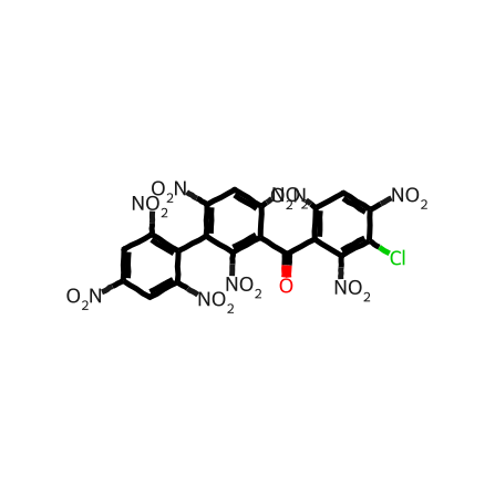 O=C(c1c([N+](=O)[O-])cc([N+](=O)[O-])c(Cl)c1[N+](=O)[O-])c1c([N+](=O)[O-])cc([N+](=O)[O-])c(-c2c([N+](=O)[O-])cc([N+](=O)[O-])cc2[N+](=O)[O-])c1[N+](=O)[O-]